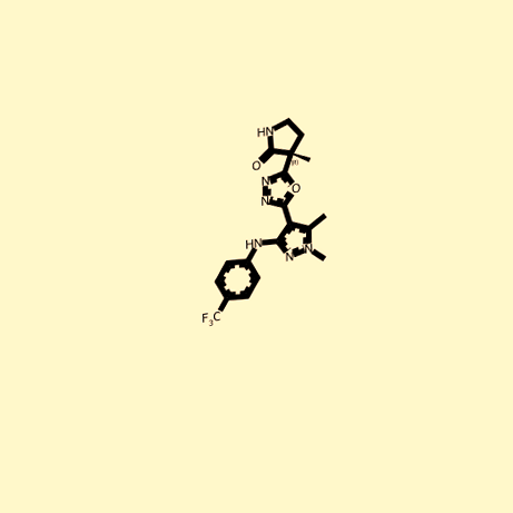 Cc1c(-c2nnc([C@@]3(C)CCNC3=O)o2)c(Nc2ccc(C(F)(F)F)cc2)nn1C